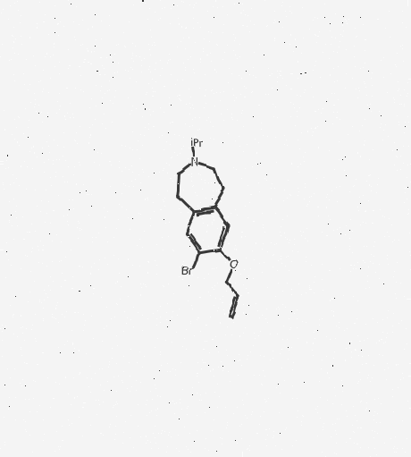 C=CCOc1cc2c(cc1Br)CCN(C(C)C)CC2